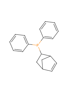 C1=CC2CC1CC2P(c1ccccc1)c1ccccc1